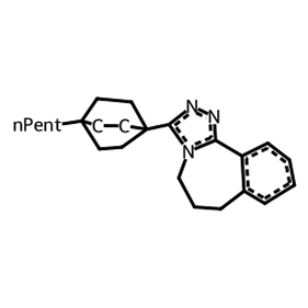 CCCCCC12CCC(c3nnc4n3CCCc3ccccc3-4)(CC1)CC2